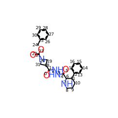 O=C(NNC(=O)C1NCCCC1c1ccccc1)C1CN(C(=O)OCc2ccccc2)C1